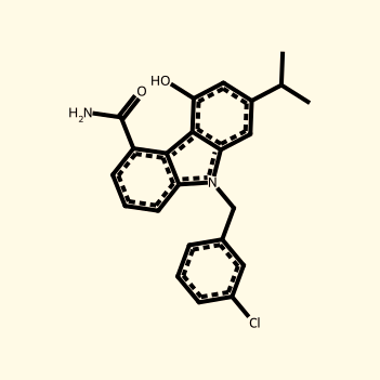 CC(C)c1cc(O)c2c3c(C(N)=O)cccc3n(Cc3cccc(Cl)c3)c2c1